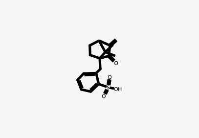 C=C1C(=O)C2(Cc3ccccc3S(=O)(=O)O)CCC1C2(C)C